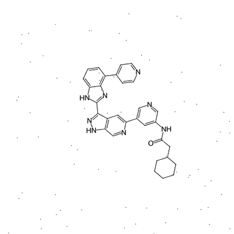 O=C(CC1CCCCC1)Nc1cncc(-c2cc3c(-c4nc5c(-c6ccncc6)cccc5[nH]4)n[nH]c3cn2)c1